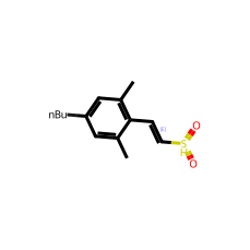 CCCCc1cc(C)c(/C=C/[SH](=O)=O)c(C)c1